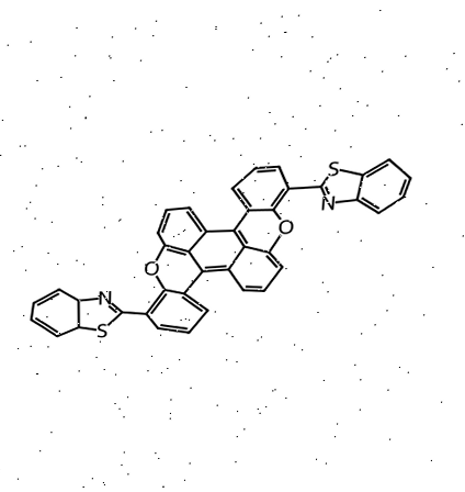 C1=CC2N=C(c3cccc4c3oc3cccc5c3c4c3cccc4oc6c(-c7nc8ccccc8s7)cccc6c5c43)SC2C=C1